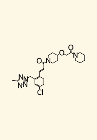 Cc1nnn(Cc2cc(Cl)ccc2C=CC(=O)N2CCC(OCC(=O)N3CCCCC3)CC2)n1